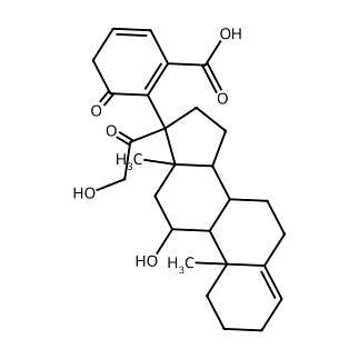 CC12CCCC=C1CCC1C2C(O)CC2(C)C1CCC2(C(=O)CO)C1=C(C(=O)O)C=CCC1=O